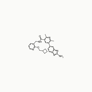 Cc1nc(C)c(-c2ccn3nc(N)nc3c2)cc1C(=O)NCc1cccnc1OCC1CCC1